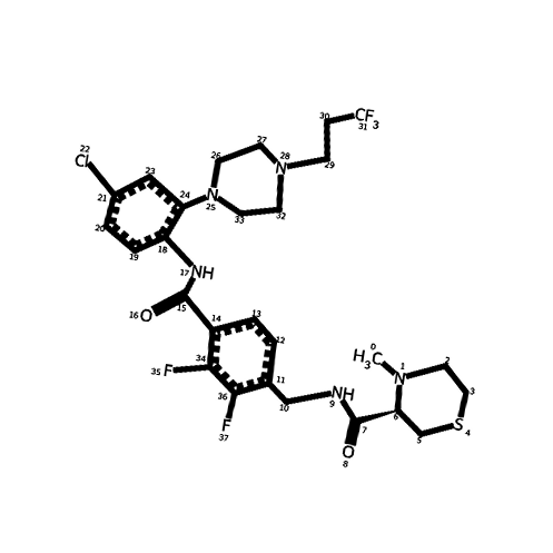 CN1CCSC[C@H]1C(=O)NCc1ccc(C(=O)Nc2ccc(Cl)cc2N2CCN(CCC(F)(F)F)CC2)c(F)c1F